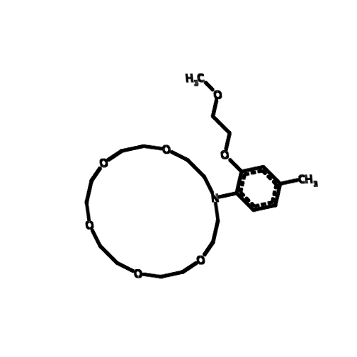 COCCOc1cc(C)ccc1N1CCOCCOCCOCCOCCOCC1